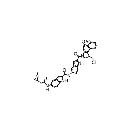 CC(=O)Oc1cc2c(c3ccccc13)C(CCl)CN2C(=O)c1cc2cc(NC(=O)c3cc4cc(NC(=O)CC5CN5C)ccc4[nH]3)ccc2[nH]1